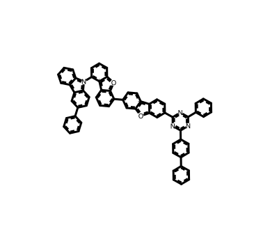 c1ccc(-c2ccc(-c3nc(-c4ccccc4)nc(-c4ccc5c(c4)oc4cc(-c6cccc7c6oc6cccc(-n8c9ccccc9c9cc(-c%10ccccc%10)ccc98)c67)ccc45)n3)cc2)cc1